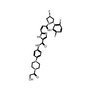 N=C(/C=C\c1ncc(C(=O)Nc2ccc(N3CCN(C(=O)CO)CC3)cc2)[nH]1)N1C[C@@H](F)C[C@@H]1c1cc(F)ccc1F